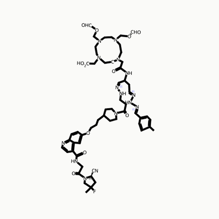 Cc1ccc(/C=N/N/N=C/CC(/C=N\NCCC(=O)N2CCC(CCCOc3ccc4nccc(C(=O)NCC(=O)N5CC(C)(F)C[C@@H]5C#N)c4c3)CC2)NC(=O)CN2CCN(COC=O)CCN(COC=O)CCN(CC(=O)O)CC2)cc1